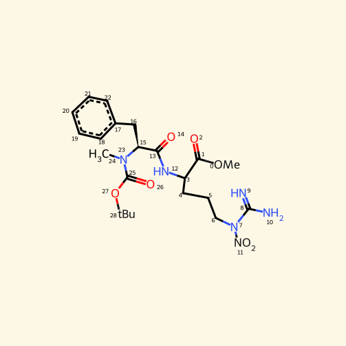 COC(=O)C(CCCN(C(=N)N)[N+](=O)[O-])NC(=O)[C@H](Cc1ccccc1)N(C)C(=O)OC(C)(C)C